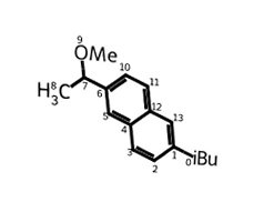 CCC(C)c1ccc2cc(C(C)OC)ccc2c1